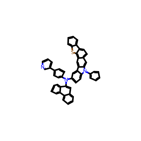 c1ccc(-n2c3ccc(N(c4ccc(-c5cccnc5)cc4)c4cc5ccccc5c5ccccc45)cc3c3cc4c(ccc5c6ccccc6sc45)cc32)cc1